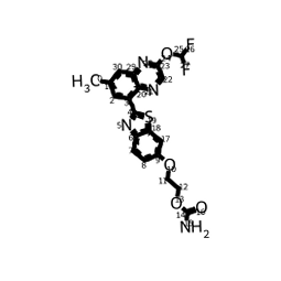 Cc1cc(-c2nc3ccc(OCCOC(N)=O)cc3s2)c2ncc(OC(F)F)nc2c1